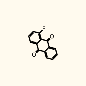 O=C1c2ccccc2C(=O)c2c(F)cccc21